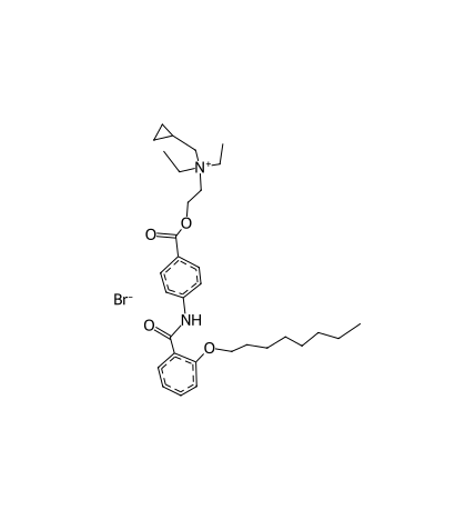 CCCCCCCCOc1ccccc1C(=O)Nc1ccc(C(=O)OCC[N+](CC)(CC)CC2CC2)cc1.[Br-]